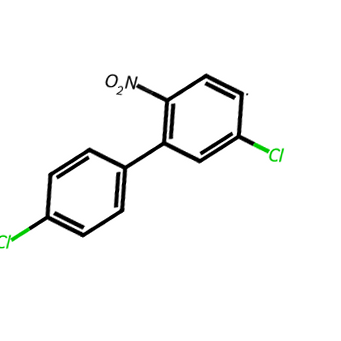 O=[N+]([O-])c1c[c]c(Cl)cc1-c1ccc(Cl)cc1